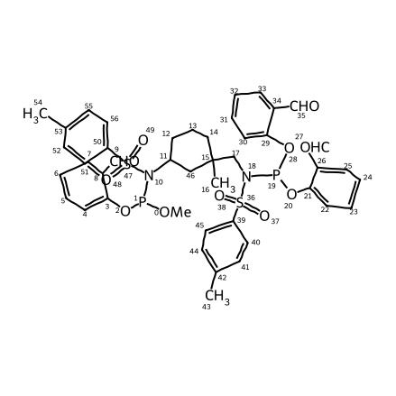 COP(Oc1ccccc1C=O)N(C1CCCC(C)(CN(P(Oc2ccccc2C=O)Oc2ccccc2C=O)S(=O)(=O)c2ccc(C)cc2)C1)S(=O)(=O)c1ccc(C)cc1